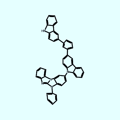 c1ccc(-n2c3ccc(-n4c5ccccc5c5cc(-c6cccc(-c7ccc8[nH]c9ccccc9c8c7)c6)ccc54)cc3n3c4ccccc4nc23)cc1